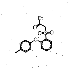 CCC(=O)CS(=O)(=O)c1ccccc1Oc1ccc(C)cc1